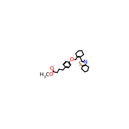 COC(=O)CCCc1ccc(OCC2=C(c3nc4c(s3)CCCC4)CCCC2)cc1